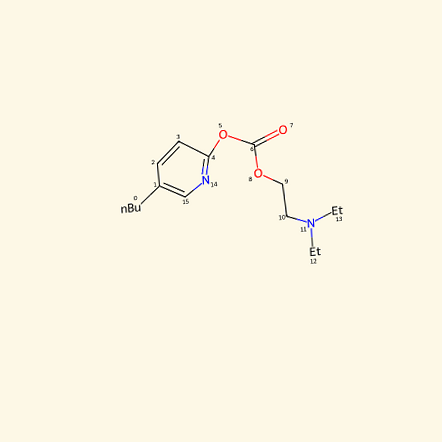 CCCCc1ccc(OC(=O)OCCN(CC)CC)nc1